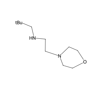 CC(C)(C)CNCCN1CCOCC1